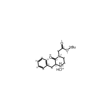 CC(C)(C)OC(=O)CN1CCNC(Cc2ccccc2)C1=O.Cl